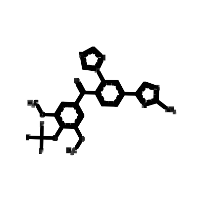 COc1cc(C(=O)c2ccc(-c3csc(N)n3)cc2-n2cncn2)cc(OC)c1OC(F)(F)F